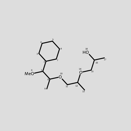 COC(C1CCCCC1)C(C)OCC(C)OCC(C)O